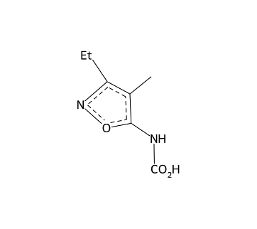 CCc1noc(NC(=O)O)c1C